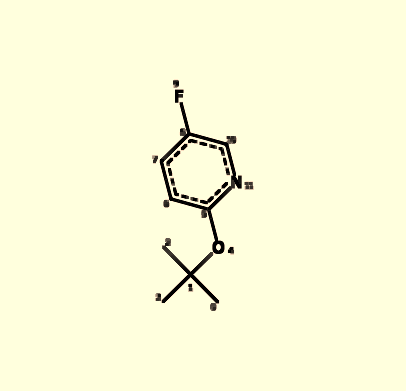 CC(C)(C)Oc1ccc(F)cn1